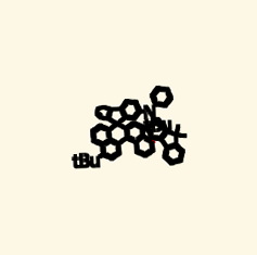 CC(C)(C)c1cc2c(c3ccccc13)-c1ccc(C(C)(C)C)c3cccc(c13)C21C2=C(CCC=C2)c2ccc(N(c3ccccc3)c3ccc4c(c3)C(C)(C)c3ccccc3-4)cc21